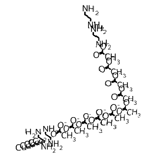 CC(=O)[O-].CC(=O)[O-].CC(=O)[O-].CC(=O)[O-].CC(=O)[O-].CC(=O)[O-].CC(=O)[O-].CC(=O)[O-].CC(=O)[O-].CC(=O)[O-].NCCN.NCCN.NCCN.NCCN.[Cu+2].[Cu+2].[Cu+2].[Cu+2].[Cu+2]